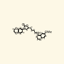 COc1ccc2ncnc(NCCCC[C@H]3CN(c4ccc5c(c4)OCCO5)C(=O)O3)c2c1